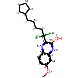 COc1ccc2nc(C(F)(F)CCCCC3CCCC3)c(O)nc2c1